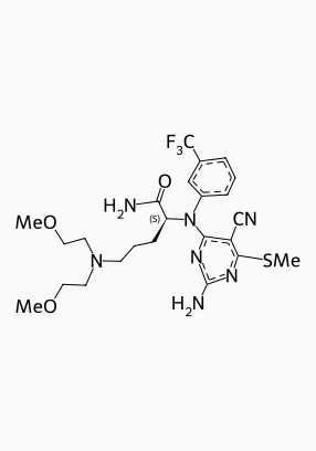 COCCN(CCC[C@@H](C(N)=O)N(c1cccc(C(F)(F)F)c1)c1nc(N)nc(SC)c1C#N)CCOC